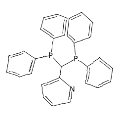 c1ccc(P(c2ccccc2)C(c2ccccn2)P(c2ccccc2)c2ccccc2)cc1